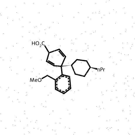 CCC[C@H]1CC[C@H](C2(c3ccccc3COC)C=CC(C(=O)O)C=C2)CC1